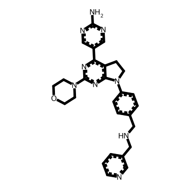 Nc1ncc(-c2nc(N3CCOCC3)nc3c2CCN3c2ccc(CNCc3cccnc3)cc2)cn1